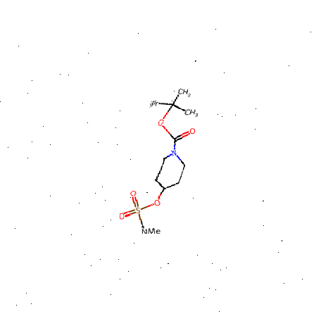 CNS(=O)(=O)OC1CCN(C(=O)OC(C)(C)C(C)C)CC1